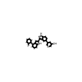 Oc1cncc(-c2ccc3[nH]nc(-c4cc5c(-c6ccccc6F)cccc5[nH]4)c3c2)c1